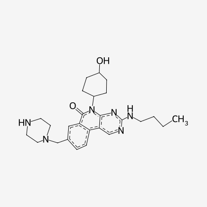 CCCCNc1ncc2c3ccc(CN4CCNCC4)cc3c(=O)n(C3CCC(O)CC3)c2n1